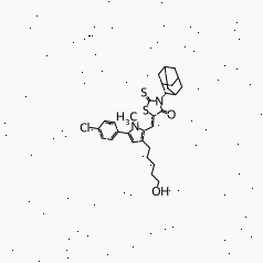 Cn1c(-c2ccc(Cl)cc2)cc(CCCCCO)c1/C=C1\SC(=S)N(C2C3CC4CC(C3)CC2C4)C1=O